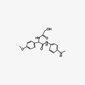 COc1ccc(C(NC(=O)CO)C(=O)Nc2ccc([SiH](C)C)cc2)cc1